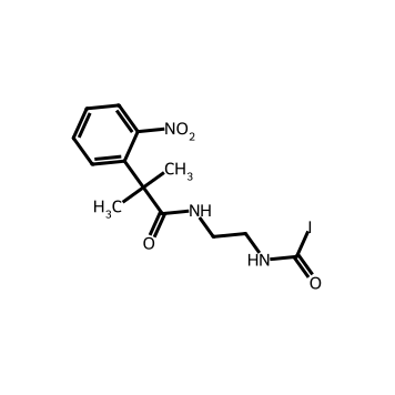 CC(C)(C(=O)NCCNC(=O)I)c1ccccc1[N+](=O)[O-]